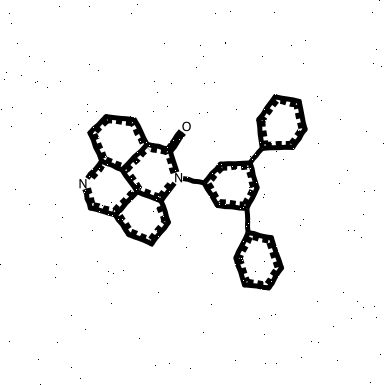 O=c1c2cccc3ncc4cccc(c4c32)n1-c1cc(-c2ccccc2)cc(-c2ccccc2)c1